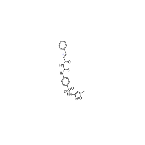 Cc1cc(NS(=O)(=O)c2ccc(NC(=S)NC(=O)/C=C/c3ccccc3)cc2)no1